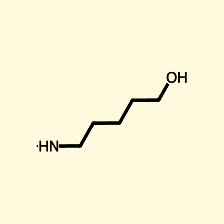 [NH]CCCCCO